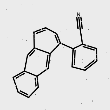 N#Cc1ccccc1-c1cccc2cc3ccccc3cc12